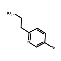 O=S(=O)(O)CCc1ccc(Br)cn1